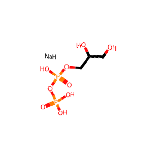 O=P(O)(O)OP(=O)(O)OCC(O)CO.[NaH]